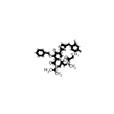 CCC(=O)N(C)CC1(C)CN(C(C)C)C(=O)c2c(OCc3ccccc3)c(=O)c(-c3ncc(Cc4ccc(F)cc4F)s3)cn21